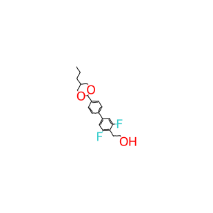 CCCC1COC(c2ccc(-c3cc(F)c(CCO)c(F)c3)cc2)OC1